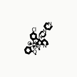 COc1ccccc1S(=O)(=O)N1C(=O)C(c2cccnc2OC)(N2CCN(c3ccncc3)CC2)c2cc(Cl)ccc21